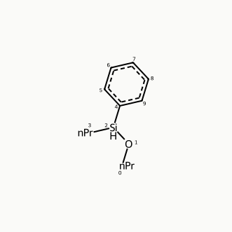 CCCO[SiH](CCC)c1ccccc1